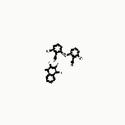 N#Cc1c(Cl)cccc1Cl.N#Cc1c(Cl)cccc1Cl.O=C1C(Cl)=C(Cl)C(=O)c2ccccc21